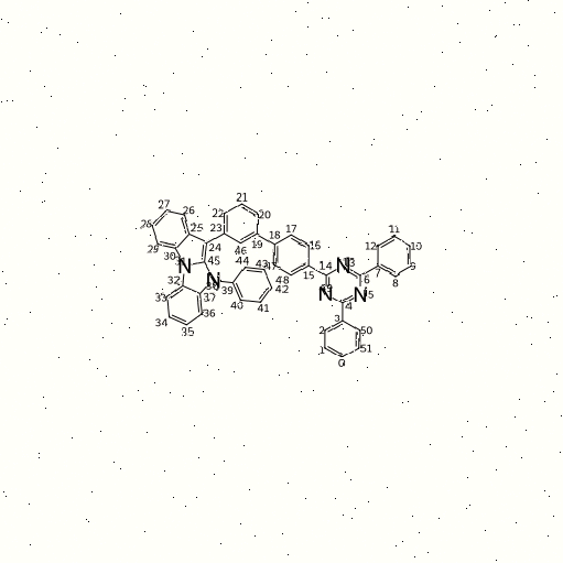 c1ccc(-c2nc(-c3ccccc3)nc(-c3ccc(-c4cccc(-c5c6ccccc6n6c7ccccc7n(-c7ccccc7)c56)c4)cc3)n2)cc1